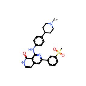 CC(=O)N1CCC(c2ccc(Nc3nc(-c4cccc(S(C)(=O)=O)c4)cc4c3C(=O)[N]C=C4)cc2)CC1